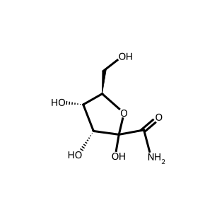 NC(=O)C1(O)O[C@H](CO)[C@@H](O)[C@H]1O